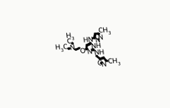 CCN(CC)CCOc1cc(Nc2cc(C)n[nH]2)nc(NCc2cc(C)no2)n1